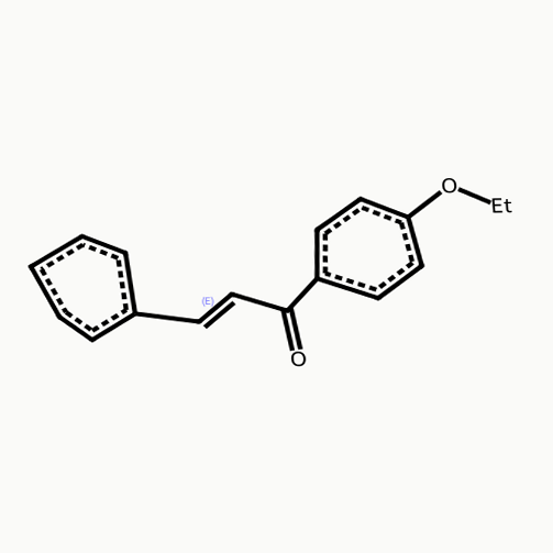 CCOc1ccc(C(=O)/C=C/c2ccccc2)cc1